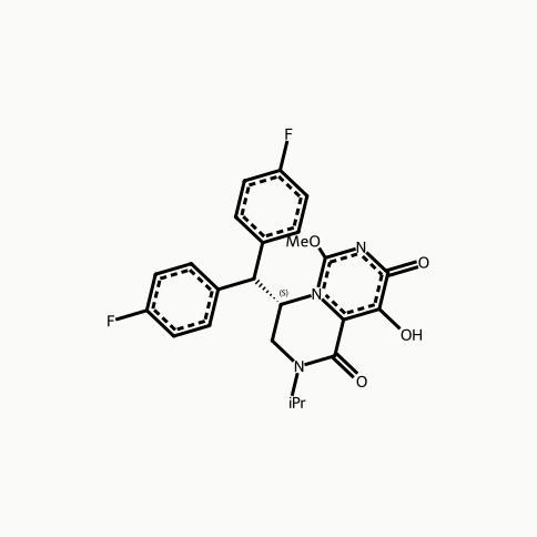 COc1nc(=O)c(O)c2n1[C@@H](C(c1ccc(F)cc1)c1ccc(F)cc1)CN(C(C)C)C2=O